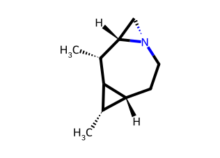 C[C@@H]1C2[C@H](C)[C@@H]3C[N@]3CC[C@@H]21